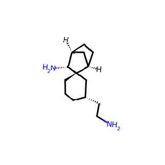 NCC[C@@H]1CCC[C@]2(C1)[C@@H]1CC[C@@H](C1)[C@H]2N